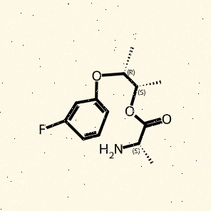 C[C@H](N)C(=O)O[C@@H](C)[C@@H](C)Oc1cccc(F)c1